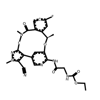 CCOC(=O)NCC(=O)Nc1ncc2cc1O[C@H](C)c1cc(F)ccc1C(=O)N(C)Cc1nn(C)c(C#N)c1-2